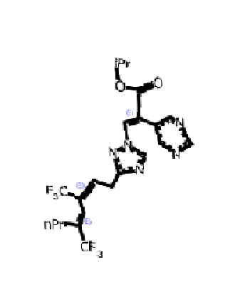 CCC/C(=C\C(=C/Cc1ncn(/C=C(/C(=O)OC(C)C)c2cncnc2)n1)C(F)(F)F)C(F)(F)F